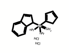 CC[CH2][Zr](=[SiH2])([CH2]CC)([C]1=CC=CC1)[CH]1C=Cc2ccccc21.Cl.Cl